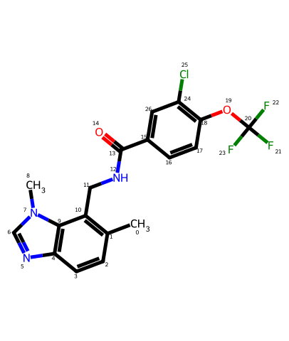 Cc1ccc2ncn(C)c2c1CNC(=O)c1ccc(OC(F)(F)F)c(Cl)c1